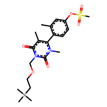 Cc1cc(OS(C)(=O)=O)ccc1-c1c(C)c(=O)n(COCC[Si](C)(C)C)c(=O)n1C